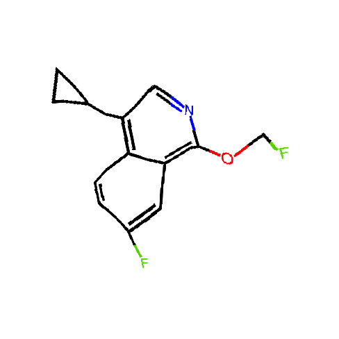 FCOc1ncc(C2CC2)c2ccc(F)cc12